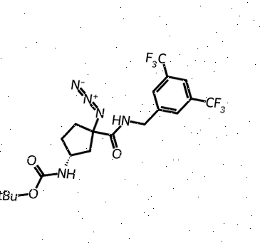 CC(C)(C)OC(=O)N[C@@H]1CCC(N=[N+]=[N-])(C(=O)NCc2cc(C(F)(F)F)cc(C(F)(F)F)c2)C1